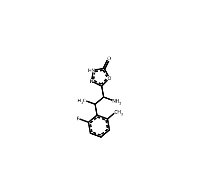 Cc1cccc(F)c1C(C)C(N)c1n[nH]c(=O)o1